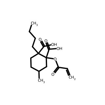 C=CC(=O)OC1(C(=O)O)CC(C)CCC1(CCCC)C(=O)O